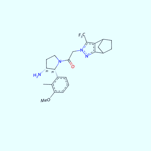 COc1cccc([C@@H]2[C@H](N)CCN2C(=O)Cn2nc3c(c2C(F)(F)F)C2CCC3C2)c1C